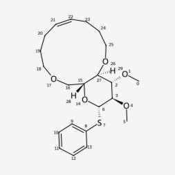 CO[C@@H]1[C@@H](OC)[C@H](Sc2ccccc2)O[C@@H]2COCCC/C=C\CCCO[C@@H]12